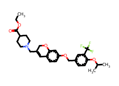 CCOC(=O)C1CCN(CC2=Cc3ccc(OCc4ccc(OC(C)C)c(C(F)(F)F)c4)cc3OC2)CC1